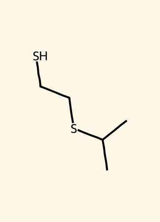 CC(C)SCCS